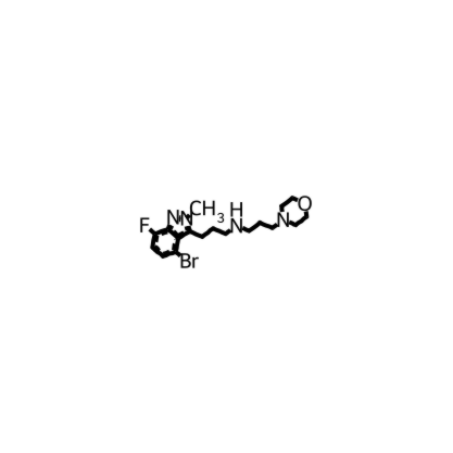 Cn1nc2c(F)ccc(Br)c2c1CCCNCCCN1CCOCC1